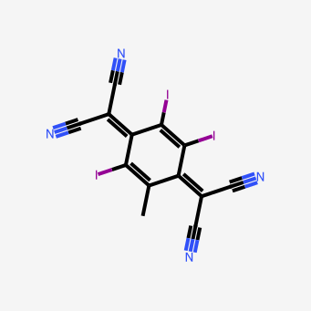 Cc1c(I)c(=C(C#N)C#N)c(I)c(I)c1=C(C#N)C#N